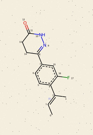 C/C=C(\C)c1ccc(C2=NNC(=O)CC2)cc1F